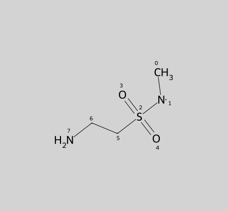 C[N]S(=O)(=O)CCN